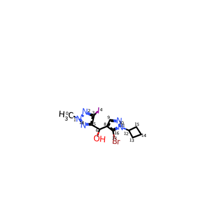 Cn1nc(I)c(C(O)c2cnn(C3CCC3)c2Br)n1